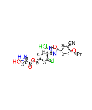 CC(C)Oc1ccc(-c2nc(-c3ccc(COC(=O)[C@@H](N)CO)cc3Cl)no2)cc1C#N.Cl